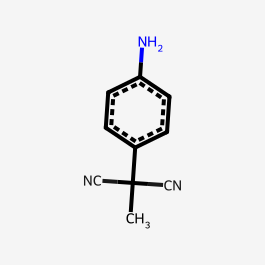 CC(C#N)(C#N)c1ccc(N)cc1